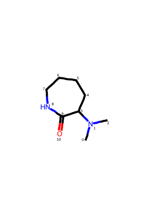 CN(C)C1CCCCNC1=O